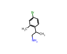 Cc1cc(Br)ccc1C(C)CN